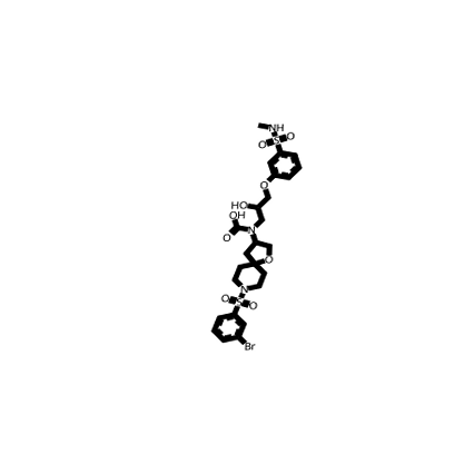 CNS(=O)(=O)c1cccc(OCC(O)CN(C(=O)O)C2COC3(CCN(S(=O)(=O)c4cccc(Br)c4)CC3)C2)c1